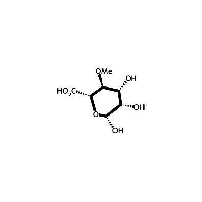 CO[C@H]1[C@H](O)[C@H](O)[C@H](O)O[C@@H]1C(=O)O